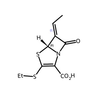 C/C=C1\C(=O)N2C(C(=O)O)=C(SCC)S[C@H]12